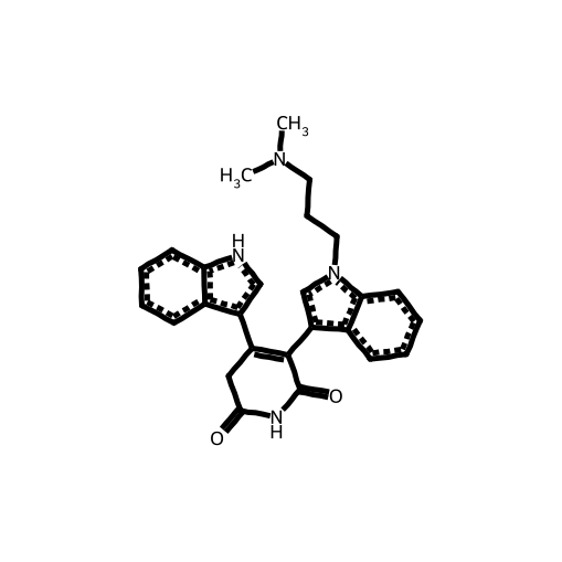 CN(C)CCCn1cc(C2=C(c3c[nH]c4ccccc34)CC(=O)NC2=O)c2ccccc21